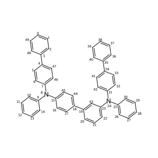 c1ccc(-c2ccc(N(c3ccccc3)c3ccc(-c4cccc(N(c5ccccc5)c5ccc(-c6ccccc6)cc5)c4)cc3)cc2)cc1